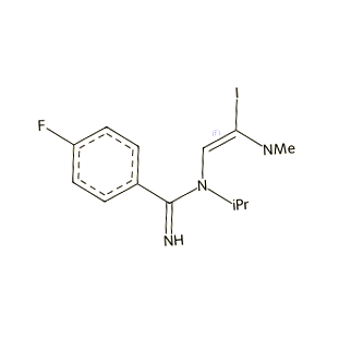 CN/C(I)=C\N(C(=N)c1ccc(F)cc1)C(C)C